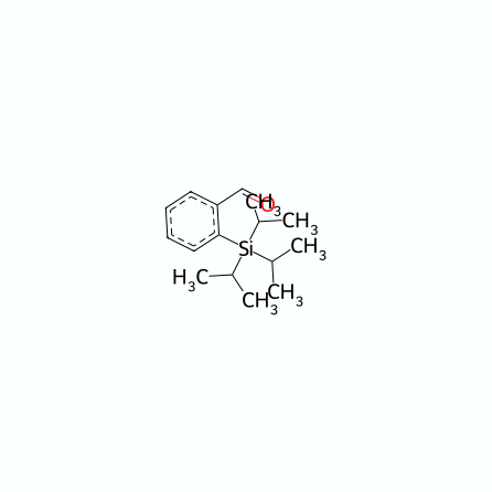 CC(C)[Si](c1ccccc1C=O)(C(C)C)C(C)C